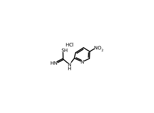 Cl.N=C(S)Nc1ccc([N+](=O)[O-])cn1